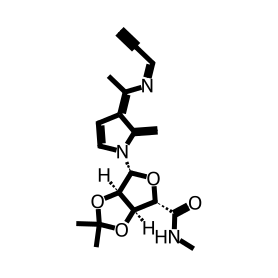 C#C/C=N\C(C)=c1\ccn([C@@H]2O[C@H](C(=O)NC)[C@H]3OC(C)(C)O[C@H]32)c1=C